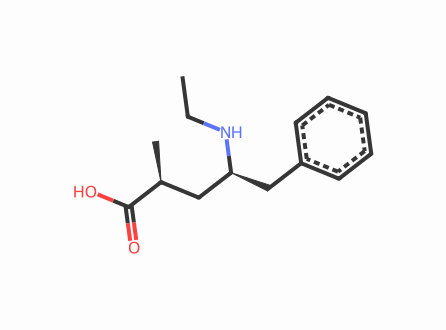 CCN[C@@H](Cc1ccccc1)C[C@H](C)C(=O)O